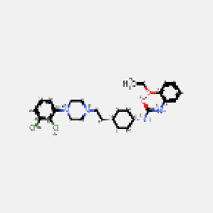 CCOc1ccccc1NC(=O)N[C@H]1CC[C@H](CCN2CCN(c3cccc(Cl)c3Cl)CC2)CC1